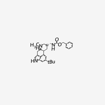 CN1C[C@H](CNC(=O)OCc2ccccc2)CC2c3cc(C(C)(C)C)cc4[nH]cc(c34)C[C@H]21